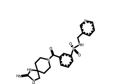 N=C1NCC2(CCN(C(=O)c3cccc(S(=O)(=O)NCc4cccnc4)c3)CC2)N1